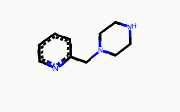 [CH]1CNCCN1Cc1ccccn1